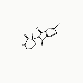 O=C1c2ccc(F)cc2C(=O)N1C1(F)CCCNC1=O